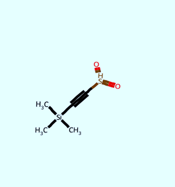 C[Si](C)(C)C#C[SH](=O)=O